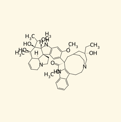 CC[C@]1(O)CC2CCN(CCc3c([nH]c4ccccc34)[C@@](C(=O)OC)(c3cc4c(cc3OC)N(C)[C@@H]3[C@]45CCN4CC=C[C@@](CC)([C@@H](O)[C@]3(O)C(C)O)[C@H]45)C2)C1